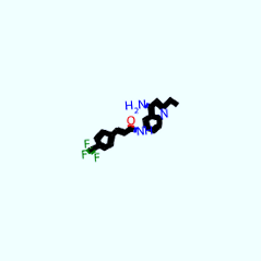 CCc1cc(N)c2cc(NC(=O)C=Cc3ccc(C(F)(F)F)cc3)ccc2n1